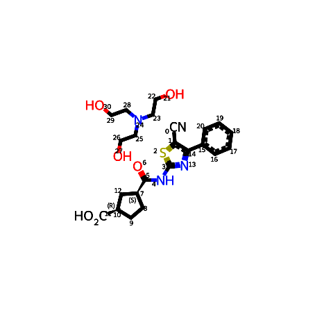 N#Cc1sc(NC(=O)[C@H]2CC[C@@H](C(=O)O)C2)nc1-c1ccccc1.OCCN(CCO)CCO